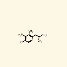 Cc1c(CC(C)C(=O)O)ccc(Cl)c1N